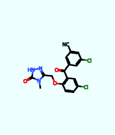 Cn1c(COc2ccc(Cl)cc2C(=O)c2cc(Cl)cc(C#N)c2)n[nH]c1=O